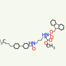 CCCCc1ccc(-c2ccc(C(=O)NCCCC[C@H](NC(=O)OCC3c4ccccc4-c4ccccc43)C(=O)OC)cc2)cc1